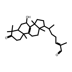 C/C(C=O)=C\CCC(C)C1CCC2(C)C3=C(CCC12C)C1(C)CCC(=O)C(C)(C)C1CC3O